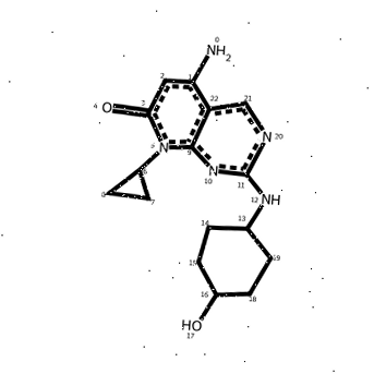 Nc1cc(=O)n(C2CC2)c2nc(NC3CCC(O)CC3)ncc12